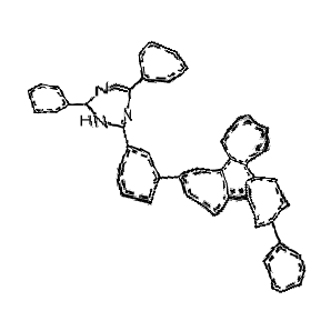 c1ccc(C2=NC(c3ccccc3)NC(c3cccc(-c4ccc5c6cc(-c7ccccc7)ccc6c6ccccc6c5c4)c3)=N2)cc1